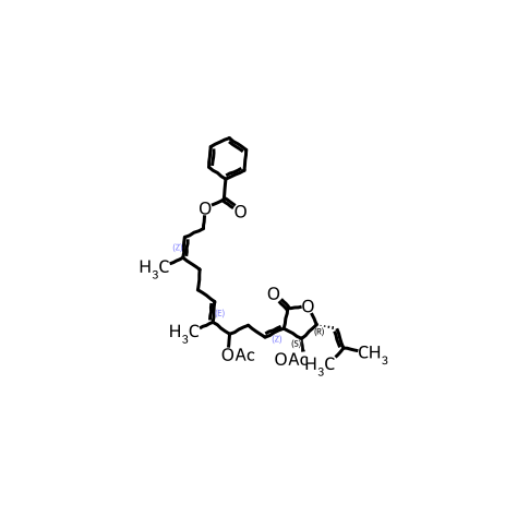 CC(=O)OC(C/C=C1\C(=O)O[C@H](C=C(C)C)[C@H]1OC(C)=O)/C(C)=C/CC/C(C)=C\COC(=O)c1ccccc1